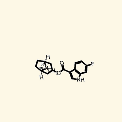 CN1[C@@H]2CC[C@H]1CC(OC(=O)c1c[nH]c3cc(F)ccc13)C2